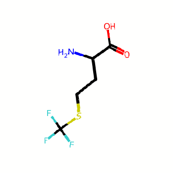 NC(CCSC(F)(F)F)C(=O)O